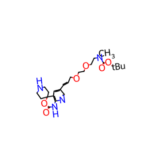 CN(CCOCCOC/C=C/c1cnc2c(c1)C1(CCNCC1)OC(=O)N2)C(=O)OC(C)(C)C